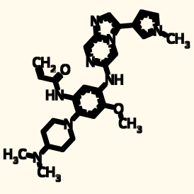 C=CC(=O)Nc1cc(Nc2cn3c(-c4ccn(C)c4)cnc3cn2)c(OC)cc1N1CCC(N(C)C)CC1